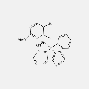 COc1ccc(Br)c(CP(Br)(c2ccccc2)(c2ccccc2)c2ccccc2)c1O